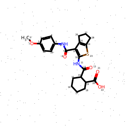 COc1ccc(NC(=O)c2c(NC(=O)C3CCCCC3C(=O)O)sc3c2CCC3)cc1